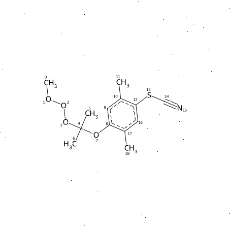 COOOC(C)(C)Oc1cc(C)c(SC#N)cc1C